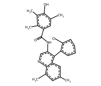 Cc1cc(C)c2ncc(NC(=O)c3cc(C)c(O)c(C)c3C)c(-c3ccccc3Cl)c2c1